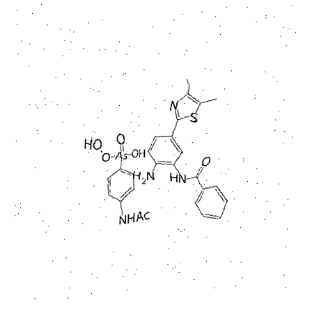 CC(=O)Nc1ccc([As](=O)(O)OO)cc1.Cc1nc(-c2ccc(N)c(NC(=O)c3ccccc3)c2)sc1C